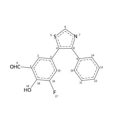 O=Cc1cc(-c2scnc2-c2ccccc2)cc(F)c1O